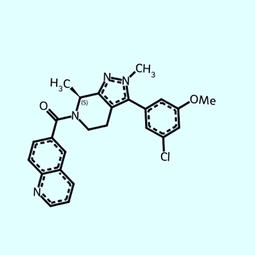 COc1cc(Cl)cc(-c2c3c(nn2C)[C@H](C)N(C(=O)c2ccc4ncccc4c2)CC3)c1